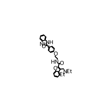 CCN(CC)Cc1c(C(=O)NCCOc2ccc(C(=O)Nc3ccccc3N)cc2)oc2ccccc12